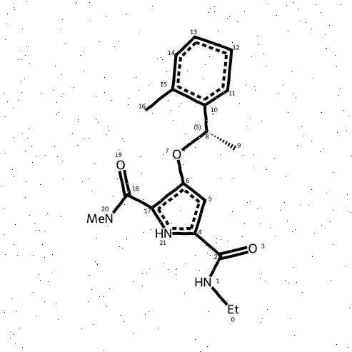 CCNC(=O)c1cc(O[C@@H](C)c2ccccc2C)c(C(=O)NC)[nH]1